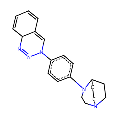 C1=CC2=CN(c3ccc(N4CCN5CCC4CC5)cc3)N=NC2C=C1